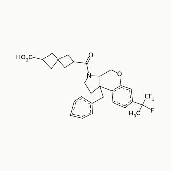 CC(F)(c1ccc2c(c1)OCC1N(C(=O)C3CC4(CC(C(=O)O)C4)C3)CCC21Cc1ccccc1)C(F)(F)F